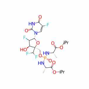 CC(C)OC(=O)[C@H](C)NP(=O)(N[C@@H](C)C(=O)OC(C)C)OC[C@@]1(C(F)F)O[C@@H](n2cc(F)c(=O)[nH]c2=O)[C@H](F)[C@@H]1O